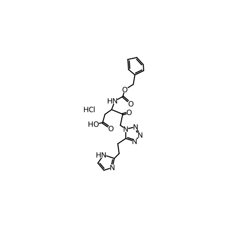 Cl.O=C(O)CC(NC(=O)OCc1ccccc1)C(=O)Cn1nnnc1CCc1ncc[nH]1